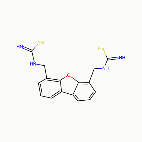 N=C(S)NCc1cccc2c1oc1c(CNC(=N)S)cccc12